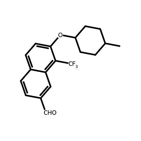 CC1CCC(Oc2ccc3ccc(C=O)cc3c2C(F)(F)F)CC1